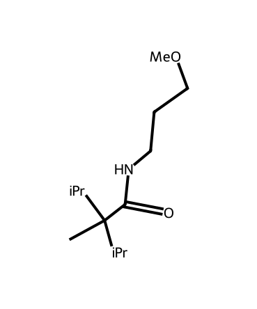 COCCCNC(=O)C(C)(C(C)C)C(C)C